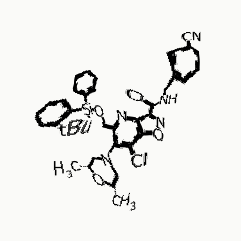 C[C@@H]1CN(c2c(CO[Si](c3ccccc3)(c3ccccc3)C(C)(C)C)nc3c(C(=O)NCc4cccc(C#N)c4)noc3c2Cl)C[C@H](C)O1